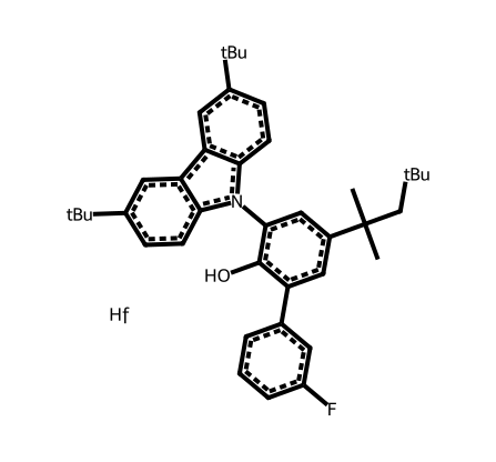 CC(C)(C)CC(C)(C)c1cc(-c2cccc(F)c2)c(O)c(-n2c3ccc(C(C)(C)C)cc3c3cc(C(C)(C)C)ccc32)c1.[Hf]